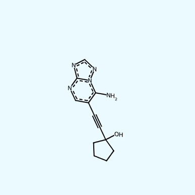 Nc1c(C#CC2(O)CCCC2)cnc2ncnn12